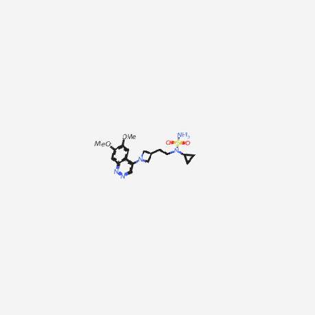 COc1cc2nncc(N3CC(CCN(C4CC4)S(N)(=O)=O)C3)c2cc1OC